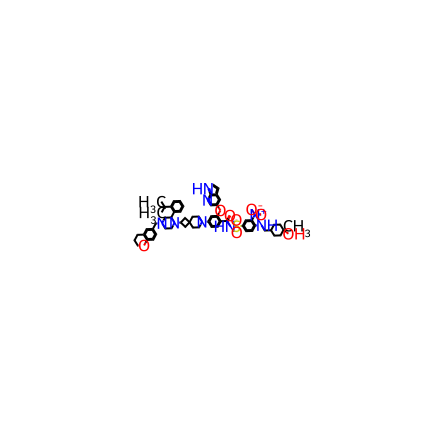 CC(C)c1ccccc1C1CN(Cc2ccc3c(c2)CCCO3)CCN1C1CC2(CCN(c3ccc(C(=O)NS(=O)(=O)c4ccc(NCC5CCC(C)(O)CC5)c([N+](=O)[O-])c4)c(Oc4cnc5[nH]ccc5c4)c3)CC2)C1